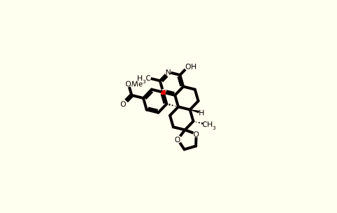 COC(=O)c1ccc([C@@]23CCC4(OCCO4)[C@@H](C)[C@H]2CCc2c(O)nc(C)nc23)cc1